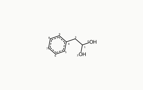 OC(O)Cc1cc[c]cc1